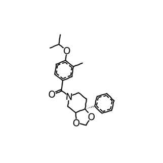 Cc1cc(C(=O)N2CC[C@@]3(c4ccccc4)OCOC3C2)ccc1OC(C)C